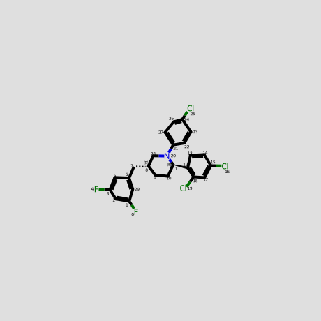 Fc1cc(F)cc(C[C@H]2CC[C@H](c3ccc(Cl)cc3Cl)N(c3ccc(Cl)cc3)C2)c1